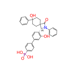 O=C1N(c2ccccc2)[C@H](c2ccc(-c3ccc(P(=O)(O)O)cc3)cc2O)C12CCC(O)(c1ccccc1)CC2